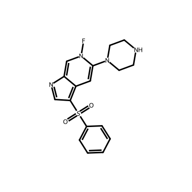 O=S(=O)(c1ccccc1)c1cnc2cn(F)c(N3CCNCC3)cc1-2